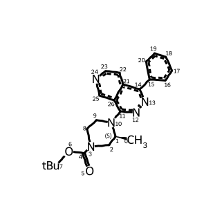 C[C@H]1CN(C(=O)OC(C)(C)C)CCN1c1nnc(-c2ccccc2)c2ccncc12